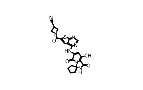 Cc1cc(Nc2ncnc3sc(C(=O)N4CC(C#N)C4)cc23)c(=O)n2c1C(=O)NC21CCCC1